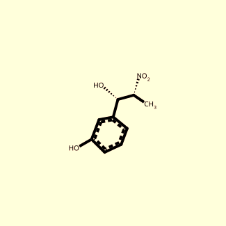 C[C@H]([C@@H](O)c1cccc(O)c1)[N+](=O)[O-]